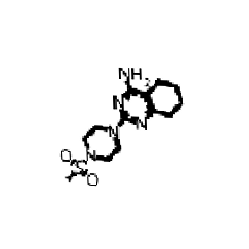 CS(=O)(=O)N1CCN(c2nc(N)c3c(n2)CCCC3)CC1